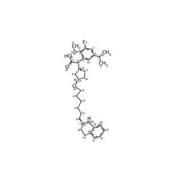 COc1c(F)cc(C(C)C)cc1C(C(=O)O)N1CC[C@@H](OCCCCCC[C@@H]2CCc3cccnc3N2)C1